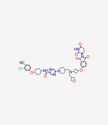 N#Cc1ccc(OC2CCC(NC(=O)c3cnc(N4CCC(CN(CC5COC5)C5CC(Oc6ccc7c(c6)C(=O)N([C@@H]6CCC(=O)NC6=O)C7=O)C5)CC4)cn3)CC2)cc1Cl